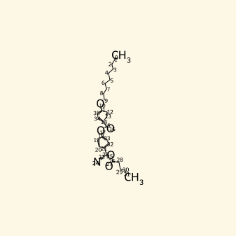 CCCCCCCCCCOc1ccc(C(=O)Oc2ccc(C(C#N)OC(=O)CCCC)cc2)cc1